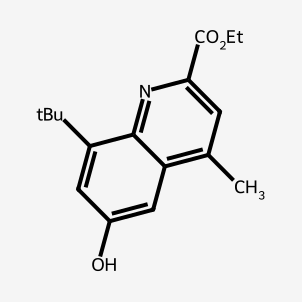 CCOC(=O)c1cc(C)c2cc(O)cc(C(C)(C)C)c2n1